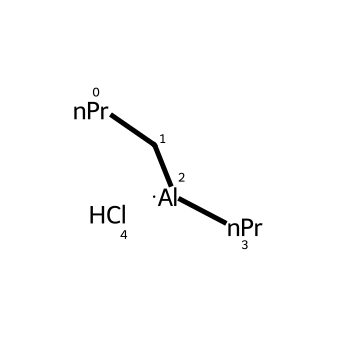 CCC[CH2][Al][CH2]CC.Cl